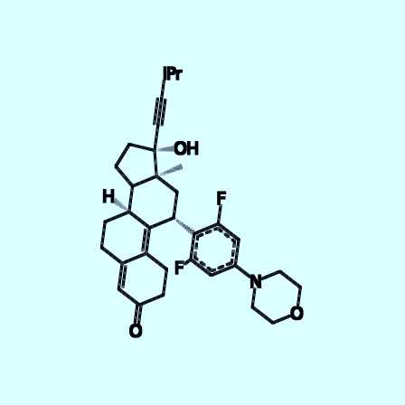 CC(C)C#C[C@]1(O)CCC2[C@@H]3CCC4=CC(=O)CCC4=C3[C@@H](c3c(F)cc(N4CCOCC4)cc3F)C[C@@]21C